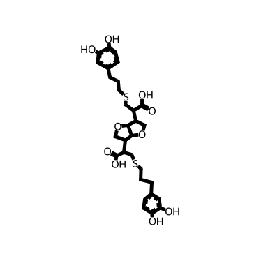 O=C(O)C(CSCCCc1ccc(O)c(O)c1)C1COC2C(C(CSCCCc3ccc(O)c(O)c3)C(=O)O)COC12